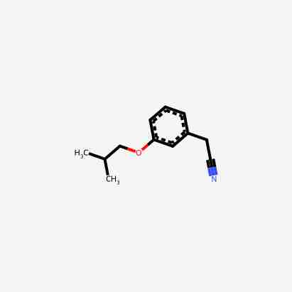 CC(C)COc1cccc(CC#N)c1